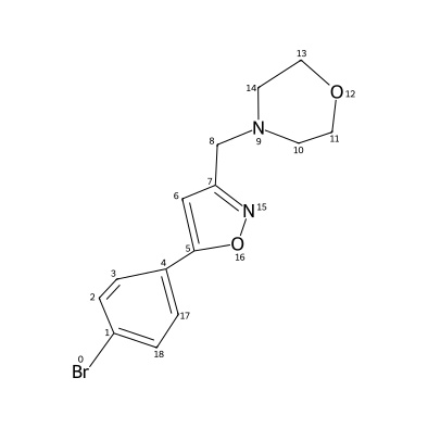 Brc1ccc(-c2cc(CN3CCOCC3)no2)cc1